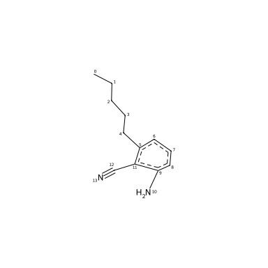 CCCCCc1cccc(N)c1C#N